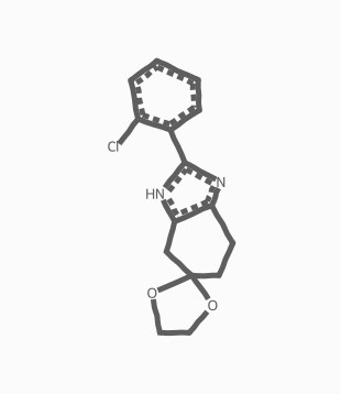 Clc1ccccc1-c1nc2c([nH]1)CC1(CC2)OCCO1